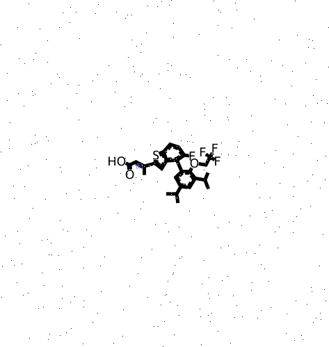 C/C(=C\C(=O)O)c1cc2c(-c3cc(C(C)C)cc(C(C)C)c3OCC(F)(F)F)c(F)ccc2s1